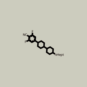 CCCCCCCC1CCC(C2CCC(c3cc(F)c(C#N)c(F)c3)CC2)CC1